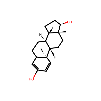 C[C@]12CC[C@H]3[C@@H](CCC4C=C(O)C=C[C@@]43C)[C@@H]1CC[C@@H]2O